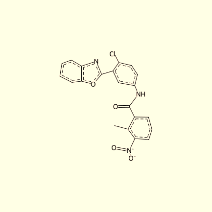 Cc1c(C(=O)Nc2ccc(Cl)c(-c3nc4ccccc4o3)c2)cccc1[N+](=O)[O-]